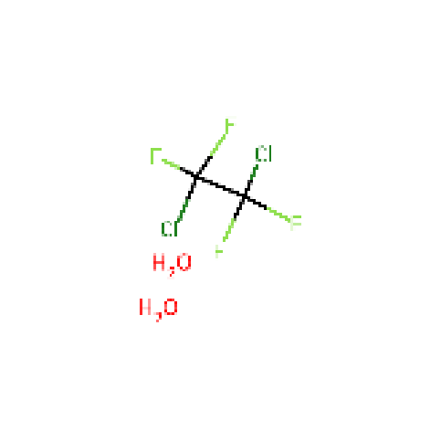 FC(F)(Cl)C(F)(F)Cl.O.O